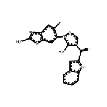 Cc1nc2cc(-n3ncc(C(=O)c4cc5ccccc5[nH]4)c3N)c(F)cc2[nH]1